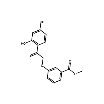 COC(=O)c1cccc(OCC(=O)c2ccc(O)cc2O)c1